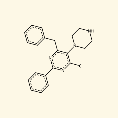 Clc1nc(-c2ccccc2)nc(Cc2ccccc2)c1N1CCNCC1